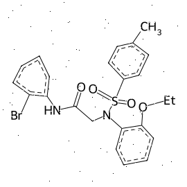 CCOc1ccccc1N(CC(=O)Nc1ccccc1Br)S(=O)(=O)c1ccc(C)cc1